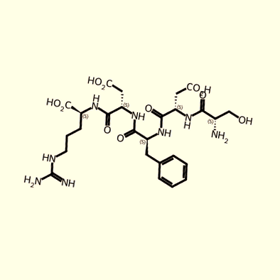 N=C(N)NCCC[C@H](NC(=O)[C@H](CC(=O)O)NC(=O)[C@H](Cc1ccccc1)NC(=O)[C@H](CC(=O)O)NC(=O)[C@@H](N)CO)C(=O)O